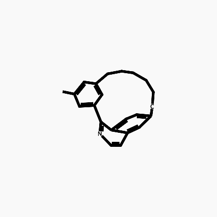 Cc1cc2cc(c1)-c1nccc3cc(ccc13)CCCCCC2